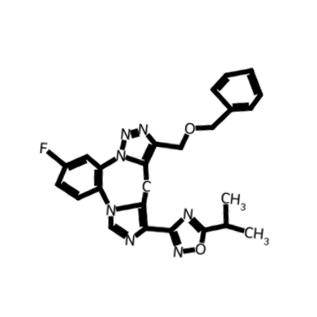 CC(C)c1nc(-c2ncn3c2Cc2c(COCc4ccccc4)nnn2-c2cc(F)ccc2-3)no1